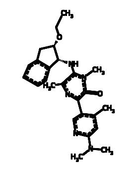 CCO[C@H]1Cc2ccccc2[C@H]1Nc1c(C)nc(-c2cnc(N(C)C)cc2C)c(=O)n1C